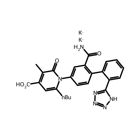 CCCCc1cc(C(=O)O)c(C)c(=O)n1-c1ccc(-c2ccccc2-c2nnn[nH]2)c(C(N)=O)c1.[K].[K]